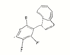 Fc1[c]cc(F)c(C2C=Cc3ccccc32)c1F